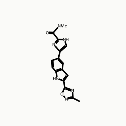 CNC(=O)c1nc(-c2ccc3[nH]c(-c4nc(C)no4)cc3c2)c[nH]1